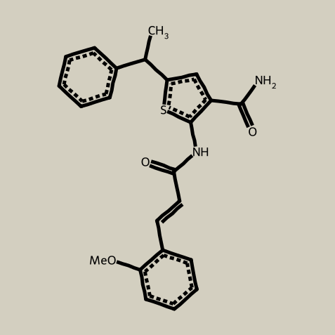 COc1ccccc1C=CC(=O)Nc1sc(C(C)c2ccccc2)cc1C(N)=O